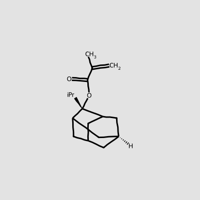 C=C(C)C(=O)O[C@]1(C(C)C)C2CC3CC1C[C@H](C3)C2